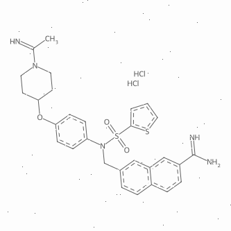 CC(=N)N1CCC(Oc2ccc(N(Cc3ccc4ccc(C(=N)N)cc4c3)S(=O)(=O)c3cccs3)cc2)CC1.Cl.Cl